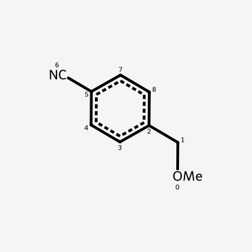 [CH2-][OH+]Cc1ccc(C#N)cc1